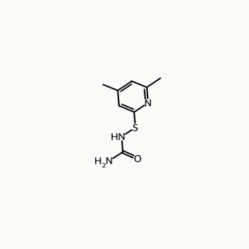 Cc1cc(C)nc(SNC(N)=O)c1